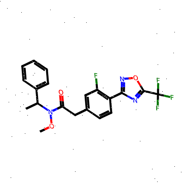 CON(C(=O)Cc1ccc(-c2noc(C(F)(F)F)n2)c(F)c1)C(C)c1ccccc1